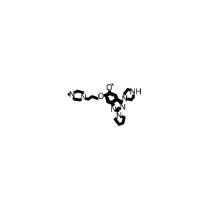 COc1cc2c(N3CCNCC3)nc(N3CCCC3)nc2cc1OCCCN1CCN(C)CC1